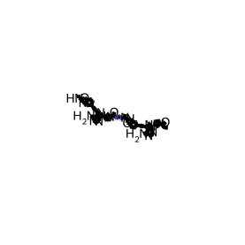 C=CC(=O)N1CC[C@H](n2nc(C#Cc3ccc4oc(N(C)C/C=C/C(=O)N5CC[C@H](n6nc(C#Cc7ccc8oc(NC)nc8c7)c7c(N)ncnc76)C5)nc4c3)c3c(N)ncnc32)C1